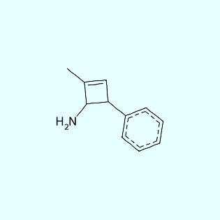 CC1=CC(c2ccccc2)C1N